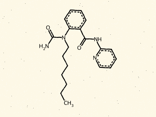 CCCCCCCN(C(N)=O)c1ccccc1C(=O)Nc1ccccn1